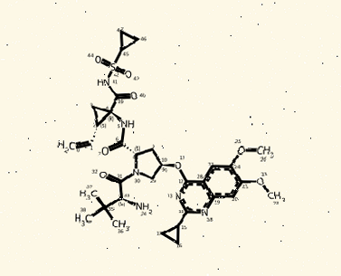 C=C[C@@H]1C[C@]1(NC(=O)[C@@H]1C[C@@H](Oc2nc(C3CC3)nc3cc(OC)c(OC)cc23)CN1C(=O)[C@@H](N)C(C)(C)C)C(=O)NS(=O)(=O)C1CC1